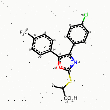 CC(Sc1nc(-c2ccc(Cl)cc2)c(-c2ccc(C(F)(F)F)cc2)o1)C(=O)O